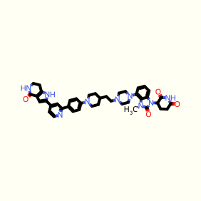 Cn1c(=O)n(C2CCC(=O)NC2=O)c2cccc(N3CCN(CCC4CCN(c5ccc(-c6cc(-c7cc8c([nH]7)CCNC8=O)ccn6)cc5)CC4)CC3)c21